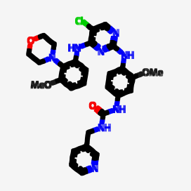 COc1cc(NC(=O)NCc2cccnc2)ccc1Nc1ncc(Cl)c(Nc2cccc(OC)c2N2CCOCC2)n1